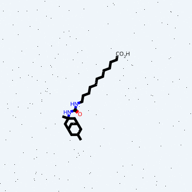 CC1CC2CC(C1)CC(C)(NC(=O)NCCCCCCCCCCCC(=O)O)C2